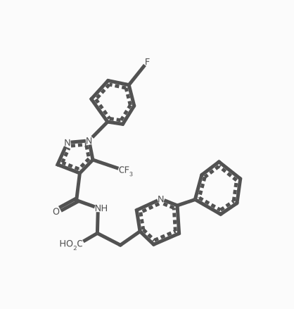 O=C(NC(Cc1ccc(-c2ccccc2)nc1)C(=O)O)c1cnn(-c2ccc(F)cc2)c1C(F)(F)F